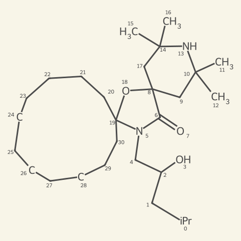 CC(C)CC(O)CN1C(=O)C2(CC(C)(C)NC(C)(C)C2)OC12CCCCCCCCCCC2